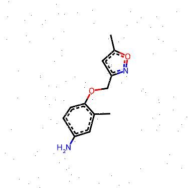 Cc1cc(COc2ccc(N)cc2C)no1